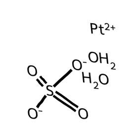 O.O.O=S(=O)([O-])[O-].[Pt+2]